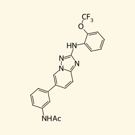 CC(=O)Nc1cccc(-c2ccc3nc(Nc4ccccc4OC(F)(F)F)nn3c2)c1